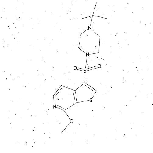 COc1nccc2c(S(=O)(=O)N3CCN(C(C)(C)C)CC3)csc12